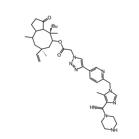 C=C[C@@]1(C)CC(C)C2CCC(=O)C2[C@@](C)(C(C)CC)C(OC(=O)Cn2cc(-c3ccc(Cn4cnc(C(=N)N5CCNCC5)c4C)nc3)nn2)C1